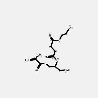 C=C(C)C(=O)OCC(COC)OC(=O)CCC(=O)OCCO